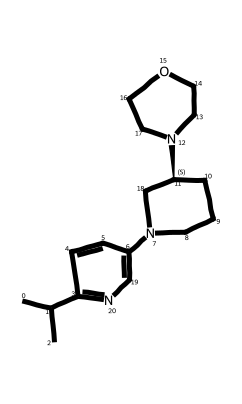 CC(C)c1ccc(N2CCC[C@H](N3CCOCC3)C2)cn1